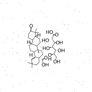 CC1(C)C=C2[C@H]3CC[C@@H]4[C@@]5(C)CCC(=O)C(C)(C)[C@@H]5CC[C@@]4(C)[C@]3(C)CC[C@@]2(C(=O)O)CC1.O=C(O)[C@@H](O)[C@@H](O)[C@H](O)[C@H](O)[C@H](O)CO